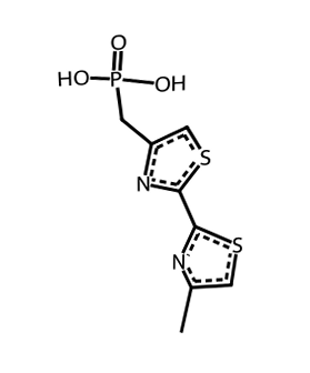 Cc1csc(-c2nc(CP(=O)(O)O)cs2)n1